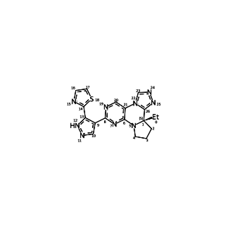 CC[C@@]12CCCN1c1nc(-c3cn[nH]c3-c3nccs3)ncc1-n1cnnc12